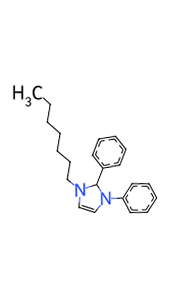 CCCCCCCN1C=CN(c2ccccc2)C1c1ccccc1